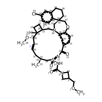 COCC1CN(C(=O)N[S@@]2(=O)=NC(=O)c3ccc4c(c3)N(C[C@@H]3CC[C@H]3[C@@H](OC)/C=C/C[C@H](C)C2)C[C@@]2(CCCc3cc(Cl)ccc32)CO4)C1